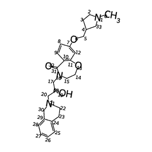 CN1CCC(COc2ccc3c(c2)OCCN(C[C@H](O)CN2CCc4ccccc4C2)C3=O)C1